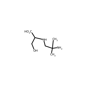 CC(C)(N)CNC(CO)C(=O)O